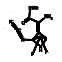 CNC(=O)/C(N)=C1/C2NC1(N=[N+]=[N-])C2(F)F